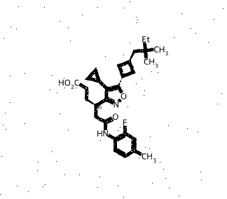 CCC(C)(C)C[C@H]1C[C@H](c2onc([C@H](CCC(=O)O)CC(=O)Nc3ccc(C)cc3F)c2C2CC2)C1